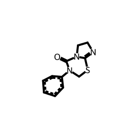 O=C1N2CCN=C2SCN1c1ccccc1